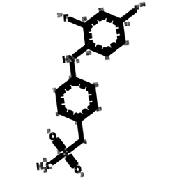 CS(=O)(=O)Cc1ccc(Nc2ccc(F)cc2F)cc1